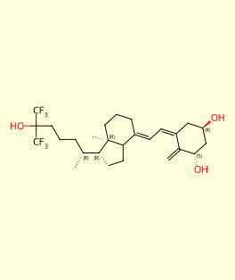 C=C1C(=CC=C2CCC[C@@]3(C)C2CC[C@@H]3[C@H](C)CCCC(O)(C(F)(F)F)C(F)(F)F)C[C@@H](O)C[C@@H]1O